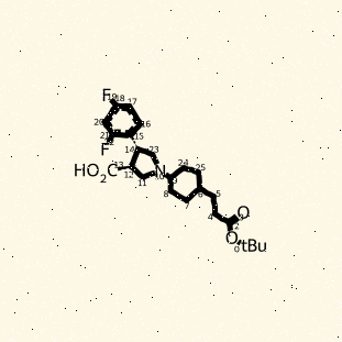 CC(C)(C)OC(=O)CCC1CCC(N2C[C@@H](C(=O)O)[C@H](c3ccc(F)cc3F)C2)CC1